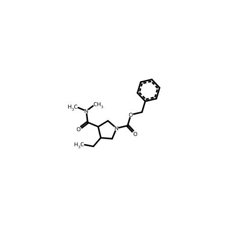 CCC1CN(C(=O)OCc2ccccc2)CC1C(=O)N(C)C